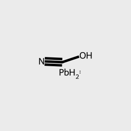 N#CO.[PbH2]